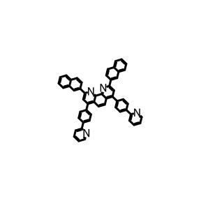 c1ccc(-c2ccc(-c3cc(-c4ccc5ccccc5c4)nc4c3ccc3c(-c5ccc(-c6ccccn6)cc5)cc(-c5ccc6ccccc6c5)nc34)cc2)nc1